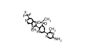 CCS(=O)(=O)c1cc(-c2ncc(N)nc2C)cnc1-c1nc2cc(C(F)(F)F)ncc2n1C